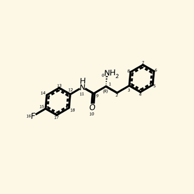 N[C@H](Cc1ccccc1)C(=O)Nc1ccc(F)cc1